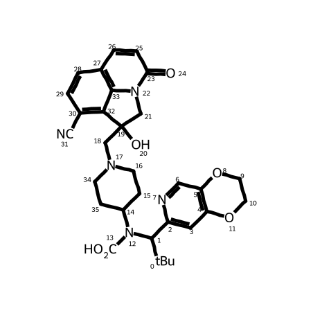 CC(C)(C)C(c1cc2c(cn1)OCCO2)N(C(=O)O)C1CCN(CC2(O)Cn3c(=O)ccc4ccc(C#N)c2c43)CC1